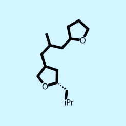 CC(C)C[C@H]1CC(CC(C)CC2CCCO2)CO1